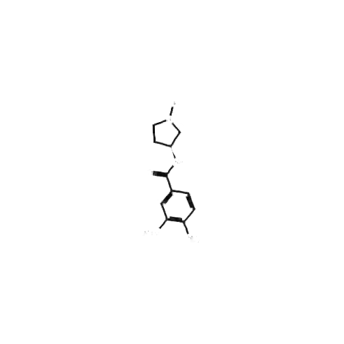 COc1cc(C(=O)N[C@H]2CCN(C(C)C)C2)ccc1N